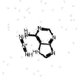 N=[N+]=N.Nc1ncnc2nc[nH]c12